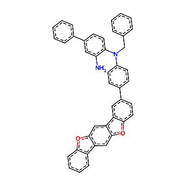 Nc1cc(-c2ccccc2)ccc1N(Cc1ccccc1)c1ccc(-c2ccc3oc4cc5c(cc4c3c2)oc2ccccc25)cc1